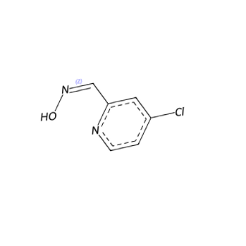 O/N=C\c1cc(Cl)ccn1